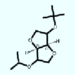 CC(C)OC1CO[C@@H]2C(OC(C)(C)C)CO[C@H]12